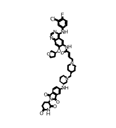 O=C(/C=C/CN1CCC(CN2CCC[C@@H](Nc3ccc4c(c3)C(=O)N(C3CCC(=O)NC3=O)C4=O)C2)CC1)Nc1cc2c(Nc3ccc(F)c(Cl)c3)ncnc2cc1O[C@H]1CCOC1